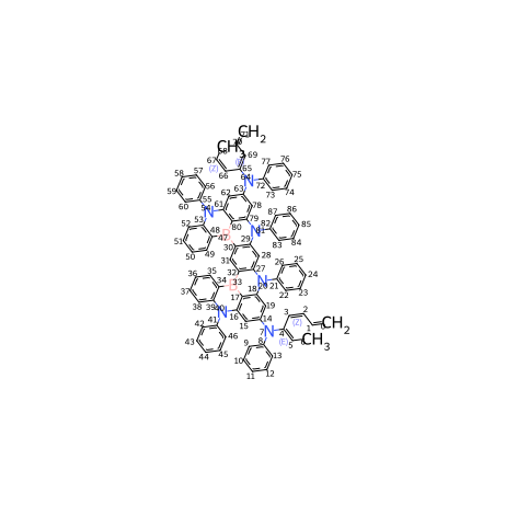 C=C/C=C\C(=C/C)N(c1ccccc1)c1cc2c3c(c1)N(c1ccccc1)c1cc4c(cc1B3c1ccccc1N2c1ccccc1)B1c2ccccc2N(c2ccccc2)c2cc(N(C(/C=C\C)=C/C=C)c3ccccc3)cc(c21)N4c1ccccc1